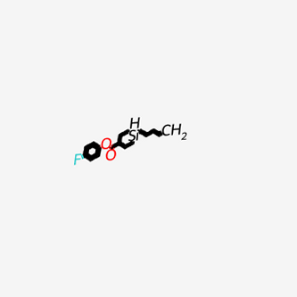 C=CCCC[SiH]1CCC(C(=O)Oc2ccc(F)cc2)CC1